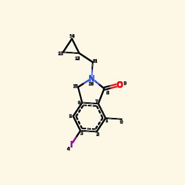 Cc1cc(I)cc2c1C(=O)N(CC1CC1)C2